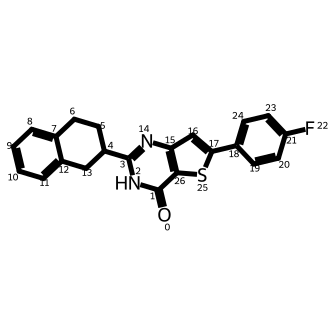 O=c1[nH]c(C2CCc3ccccc3C2)nc2cc(-c3ccc(F)cc3)sc12